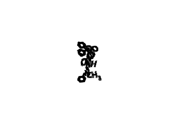 CN(CCNC(=O)N1CCN2C(=O)OC(c3ccccc3)(c3ccccc3)C2C1)Cc1ccccc1